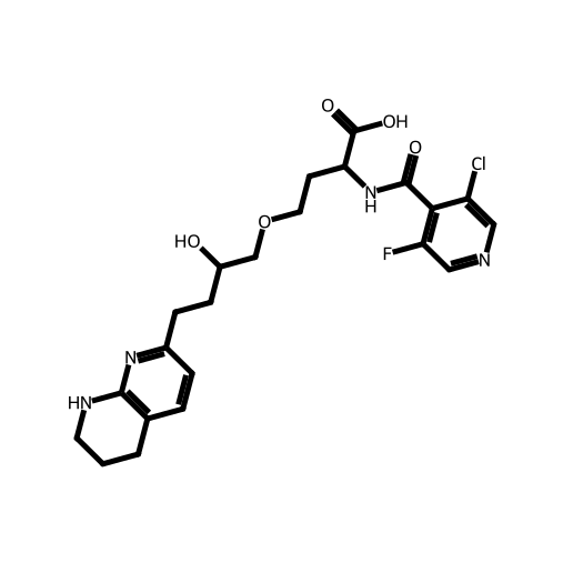 O=C(NC(CCOCC(O)CCc1ccc2c(n1)NCCC2)C(=O)O)c1c(F)cncc1Cl